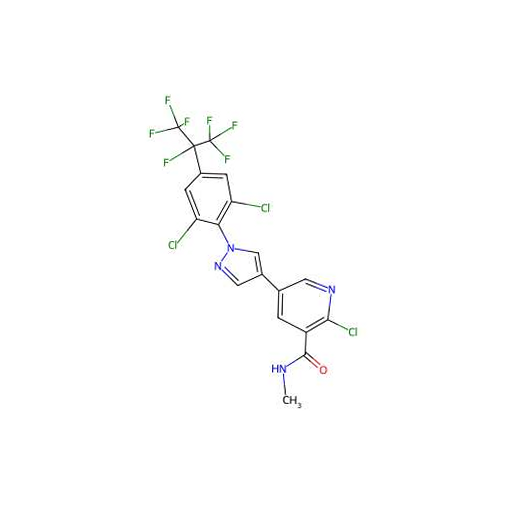 CNC(=O)c1cc(-c2cnn(-c3c(Cl)cc(C(F)(C(F)(F)F)C(F)(F)F)cc3Cl)c2)cnc1Cl